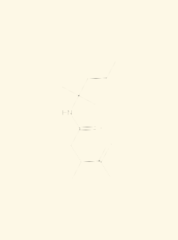 CCCC(C)(C)NC(=O)CC(C)C(C)=O